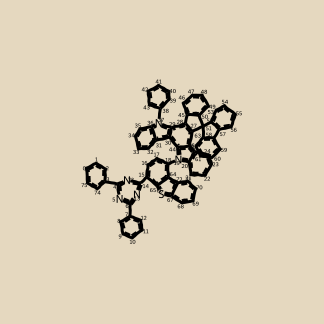 c1ccc(-c2nc(-c3ccccc3)nc(-c3ccc(-n4c5ccccc5c5c6c(c7c(c8ccccc8n7-c7ccccc7)c54)-c4ccccc4C64c5ccccc5-c5ccccc54)c4c3sc3ccccc34)n2)cc1